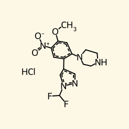 COc1cc(N2CCNCC2)c(-c2cnn(C(F)F)c2)cc1[N+](=O)[O-].Cl